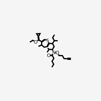 C#CCCCON(C(=O)CCCC)C(CC(C1=CCC(C)C(C(OCC)=C2CC2)=CS1)C(C)CC)C(C)C